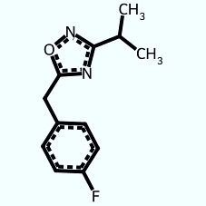 CC(C)c1noc(Cc2ccc(F)cc2)n1